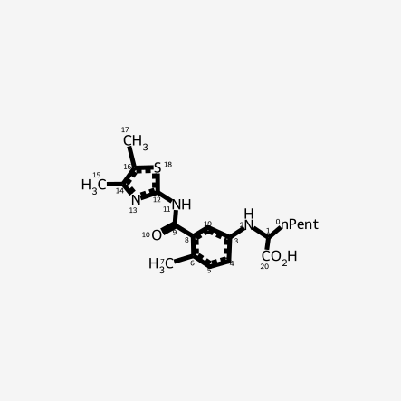 CCCCCC(Nc1ccc(C)c(C(=O)Nc2nc(C)c(C)s2)c1)C(=O)O